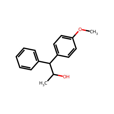 COc1ccc(C(c2ccccc2)C(C)O)cc1